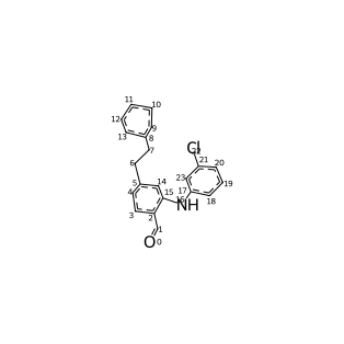 O=Cc1ccc(CCc2ccccc2)cc1Nc1cccc(Cl)c1